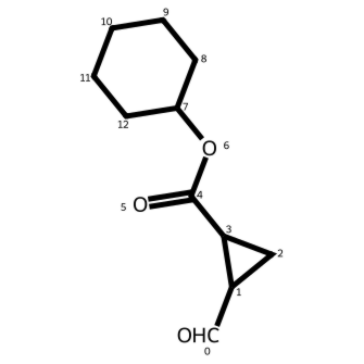 O=CC1CC1C(=O)OC1CCCCC1